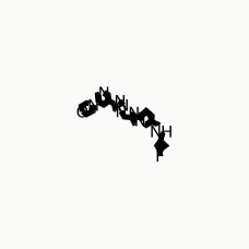 FC12CC(CNCc3ccc4nc(Cn5cc(-c6cncc(N7CCOCC7)c6)nn5)cn4c3)(C1)C2